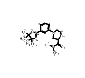 CN(C)C(=O)C1CN(c2cccc(B3OC(C)(C)C(C)(C)O3)c2)CCO1